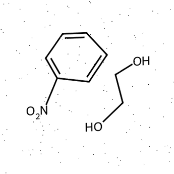 O=[N+]([O-])c1ccccc1.OCCO